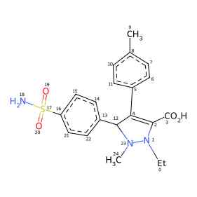 CCN1C(C(=O)O)=C(c2ccc(C)cc2)C(c2ccc(S(N)(=O)=O)cc2)N1C